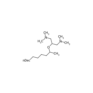 CCCCCCCCCCCCCCC(C)OC(CN(C)C)CN(C)C